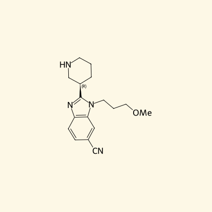 COCCCn1c([C@@H]2CCCNC2)nc2ccc(C#N)cc21